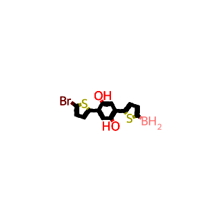 Bc1ccc(-c2cc(O)c(-c3ccc(Br)s3)cc2O)s1